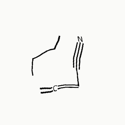 C=C=CC#N.CCCC